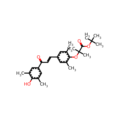 Cc1cc(C(=O)C=Cc2cc(C)c(OC(C)(C)C(=O)OC(C)(C)C)c(C)c2)cc(C)c1O